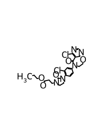 CCCOC(=O)CCN1CCN(c2ccc(N3CCOc4ncnc(Cl)c4C3=O)cc2Cl)C1=O